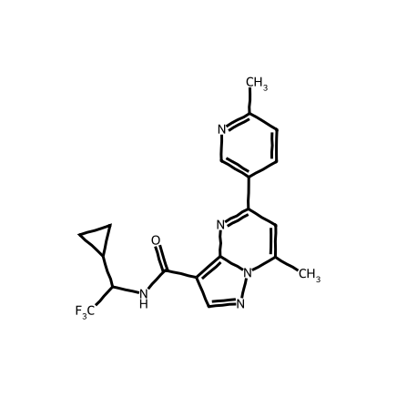 Cc1ccc(-c2cc(C)n3ncc(C(=O)NC(C4CC4)C(F)(F)F)c3n2)cn1